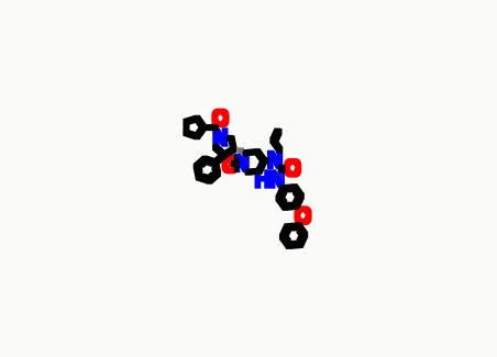 C=CCN(C(=O)Nc1ccc(Oc2ccccc2)cc1)C1CCN(O[C@]2(c3ccccc3)CN(C(=O)C3CCCC3)C[C@@H]2C)CC1